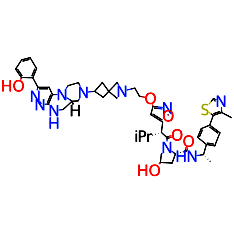 Cc1ncsc1-c1ccc([C@H](C)NC(=O)[C@@H]2C[C@@H](O)CN2C(=O)[C@@H](c2cc(OCCN3CC4(CC(N5CCN6c7cc(-c8ccccc8O)nnc7NC[C@H]6C5)C4)C3)no2)C(C)C)cc1